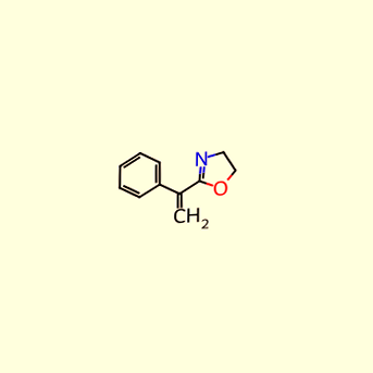 C=C(C1=NCCO1)c1ccccc1